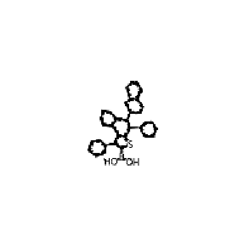 OB(O)c1sc2c(-c3ccccc3)c(-c3ccc4ccccc4c3)c3ccccc3c2c1-c1ccccc1